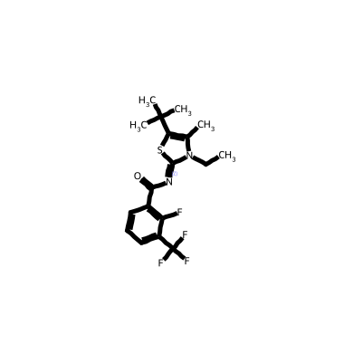 CCn1c(C)c(C(C)(C)C)s/c1=N\C(=O)c1cccc(C(F)(F)F)c1F